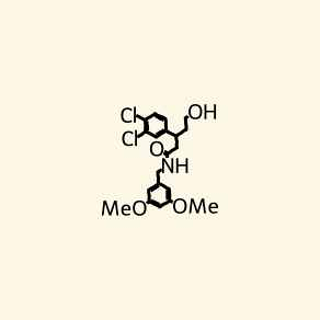 COc1cc(CNC(=O)CC(CCO)c2ccc(Cl)c(Cl)c2)cc(OC)c1